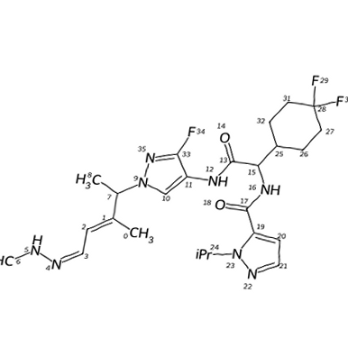 C/C(=C\C=N/NC=O)C(C)n1cc(NC(=O)C(NC(=O)c2ccnn2C(C)C)C2CCC(F)(F)CC2)c(F)n1